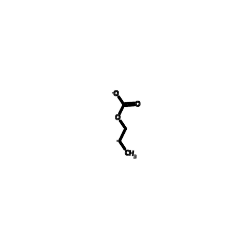 C[CH]COC([O])=O